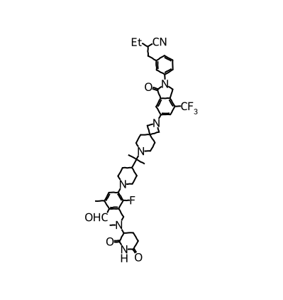 CCC(C#N)Cc1cccc(N2Cc3c(cc(N4CC5(CCN(C(C)(C)C6CCN(c7cc(C)c(C=O)c(CN(C)C8CCC(=O)NC8=O)c7F)CC6)CC5)C4)cc3C(F)(F)F)C2=O)c1